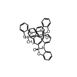 C[PH]1(c2cc(P3(=O)Oc4ccccc4N3c3ccccc3)cc(P3(=O)Oc4ccccc4N3c3ccccc3)c2)Oc2ccccc2N1c1ccccc1